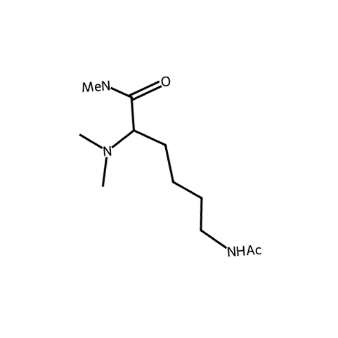 CC(=O)NCCCCC(C(=O)N[13CH3])N(C)C